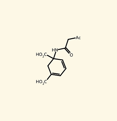 CC(=O)CC(=O)NC1(C(=O)O)C=CC=C(C(=O)O)C1